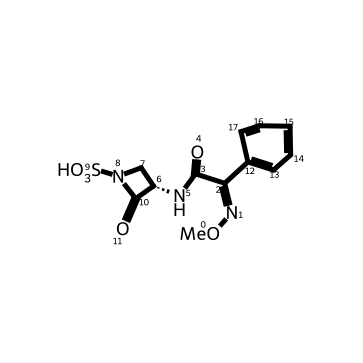 CON=C(C(=O)N[C@H]1CN(S(=O)(=O)O)C1=O)c1ccccc1